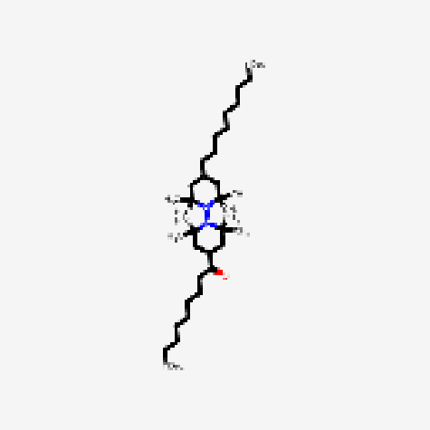 CCCCCCCCCCCCCCCCCCC1CC(C)(C)N(N2C(C)(C)CC(C(=O)CCCCCCCCCCCCCCCCC)CC2(C)C)C(C)(C)C1